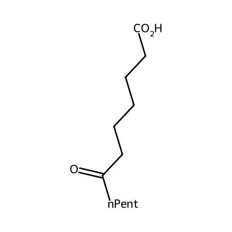 CCCCCC(=O)CCCCCC(=O)O